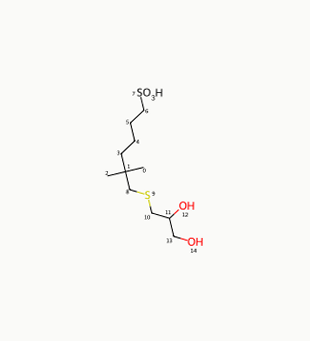 CC(C)(CCCCS(=O)(=O)O)CSCC(O)CO